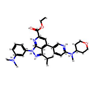 CCOC(=O)c1cc(-c2ccc(N(C)C3CCOCC3)nc2)c2c(C(C)C)nn(-c3cccc(N(C)C)c3)c2n1